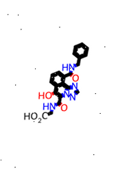 O=C(O)CNC(=O)c1c(O)c2cccc(C(=O)NCc3ccccc3)c2c2ncnn12